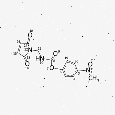 C[N+](=O)c1ccc(OC(=O)NCN2C(=O)C=CC2=O)cc1